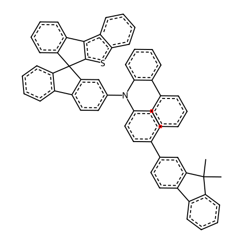 CC1(C)c2ccccc2-c2ccc(-c3ccc(N(c4ccc5c(c4)C4(c6ccccc6-5)c5ccccc5-c5c4sc4ccccc54)c4ccccc4-c4ccccc4)cc3)cc21